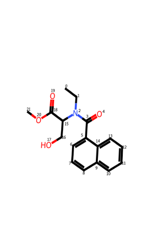 CCN(C(=O)c1cccc2ccccc12)C(CO)C(=O)OC